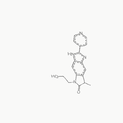 CC1C(=O)N(CCO)c2cc3[nH]c(-c4ccncc4)nc3cc21